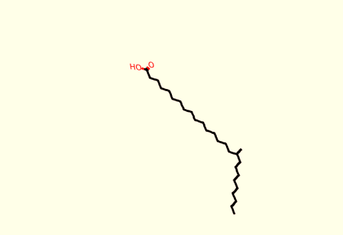 CCCCCCCCCC(C)CCCCCCCCCCCCCCCC(=O)O